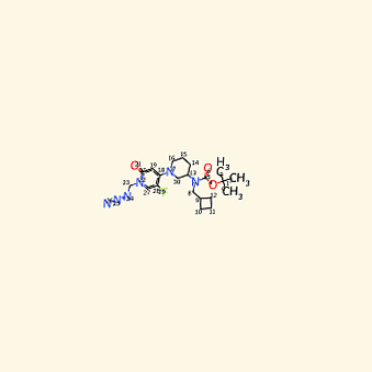 CC(C)(C)OC(=O)N(CC1CCC1)C1CCCN(c2cc(=O)n(CN=[N+]=[N-])cc2F)C1